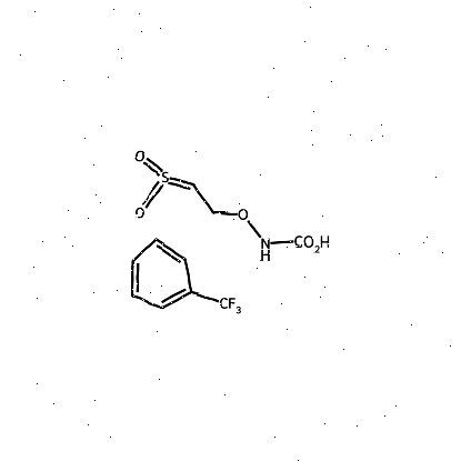 FC(F)(F)c1ccccc1.O=C(O)NOCC=S(=O)=O